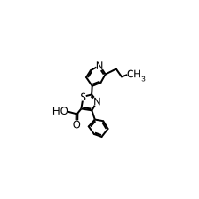 CCCc1cc(-c2nc(-c3ccccc3)c(C(=O)O)s2)ccn1